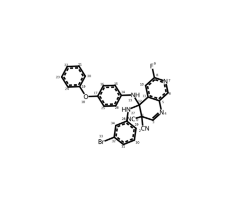 N#CC1(C#N)C=Nc2cnc(F)cc2C1(Nc1ccc(Oc2ccccc2)cc1)Nc1cccc(Br)c1